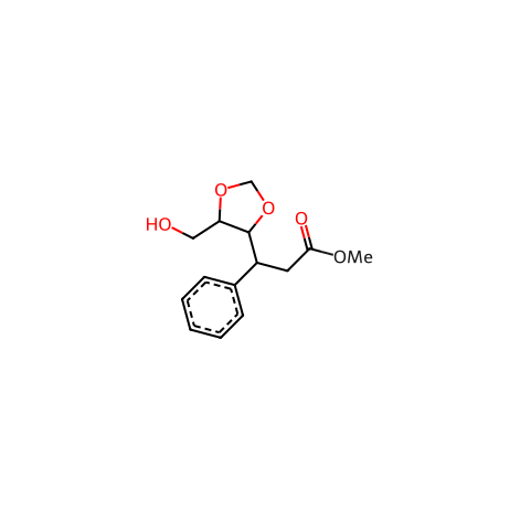 COC(=O)CC(c1ccccc1)C1OCOC1CO